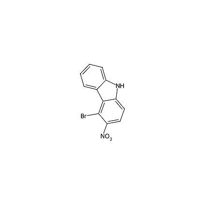 O=[N+]([O-])c1ccc2[nH]c3ccccc3c2c1Br